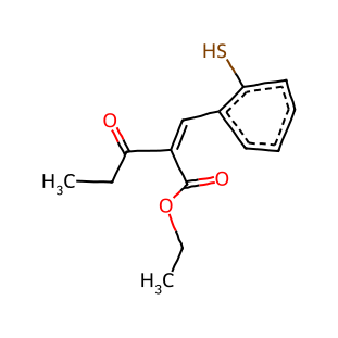 CCOC(=O)/C(=C\c1ccccc1S)C(=O)CC